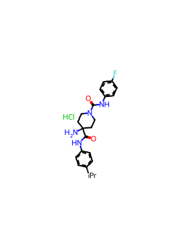 CC(C)c1ccc(NC(=O)C2(N)CCN(C(=O)Nc3ccc(F)cc3)CC2)cc1.Cl